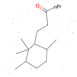 CCCC(=O)CCC1C(C)CCC(C)C1(C)C